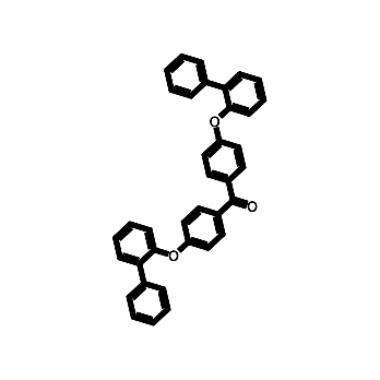 O=C(c1ccc(Oc2ccccc2-c2ccccc2)cc1)c1ccc(Oc2ccccc2-c2ccccc2)cc1